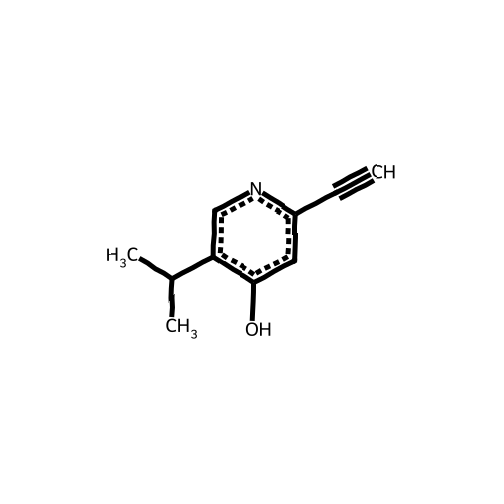 C#Cc1cc(O)c(C(C)C)cn1